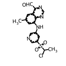 Cc1cc(Nc2cncc(S(=O)(=O)C(C)Cl)c2)c2ncnc(C=O)c2c1